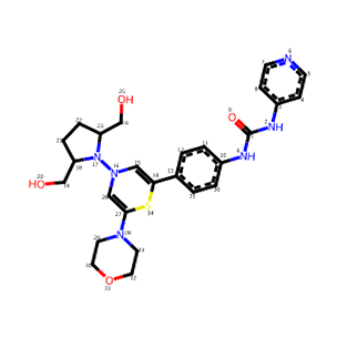 O=C(Nc1ccncc1)Nc1ccc(C2=CN(N3C(CO)CCC3CO)C=C(N3CCOCC3)S2)cc1